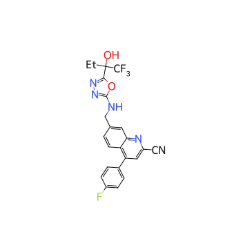 CCC(O)(c1nnc(NCc2ccc3c(-c4ccc(F)cc4)cc(C#N)nc3c2)o1)C(F)(F)F